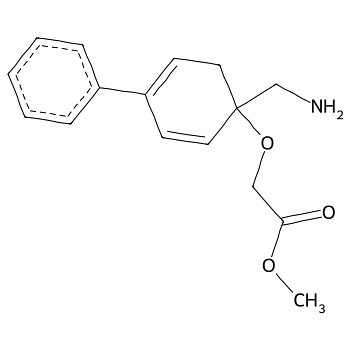 COC(=O)COC1(CN)C=CC(c2ccccc2)=CC1